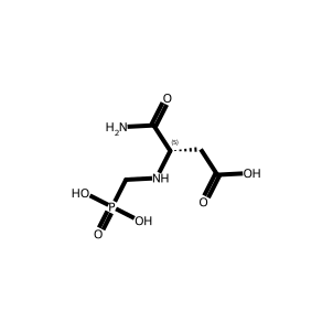 NC(=O)[C@H](CC(=O)O)NCP(=O)(O)O